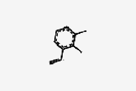 C=[C]c1cccc(C)c1C